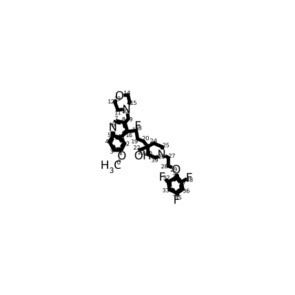 COc1ccc2ncc(CN3CCOCC3)c([C@H](F)CCC3(CO)CCN(CCOc4c(F)cc(F)cc4F)CC3)c2c1